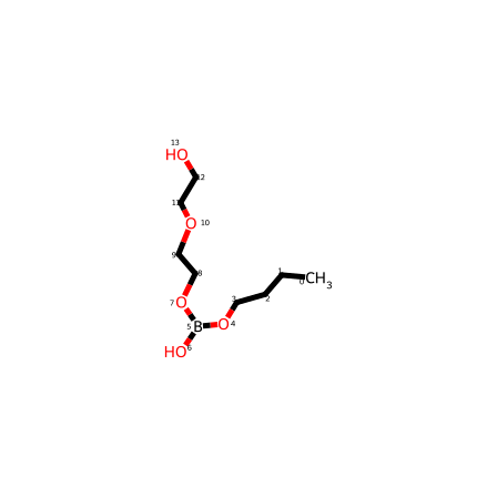 CCCCOB(O)OCCOCCO